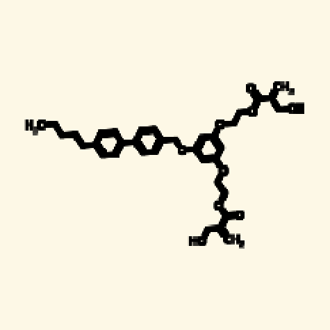 C=C(CO)C(=O)OCCOc1cc(OCCOC(=O)C(=C)CO)cc(OCc2ccc(-c3ccc(CCCCC)cc3)cc2)c1